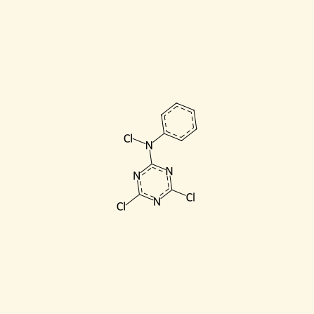 Clc1nc(Cl)nc(N(Cl)c2ccccc2)n1